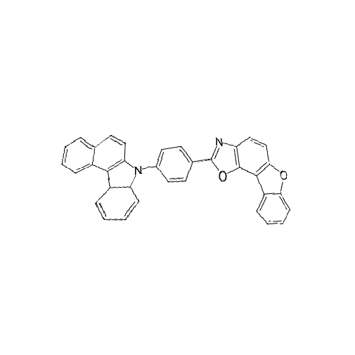 C1=CC2c3c(ccc4ccccc34)N(c3ccc(-c4nc5ccc6oc7ccccc7c6c5o4)cc3)C2C=C1